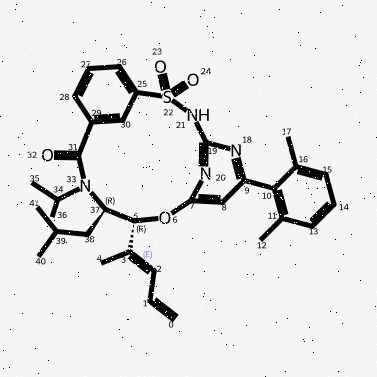 C=C/C=C(\C)[C@H]1Oc2cc(-c3c(C)cccc3C)nc(n2)NS(=O)(=O)c2cccc(c2)C(=O)N(C(C)C)[C@@H]1CC(C)C